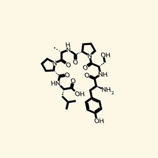 CC(C)C[C@H](NC(=O)[C@@H]1CCCN1C(=O)[C@H](C)NC(=O)[C@@H]1CCCN1C(=O)[C@H](CO)NC(=O)[C@@H](N)Cc1ccc(O)cc1)C(=O)O